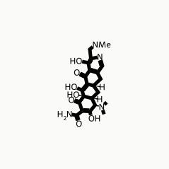 CNCc1ncc2c(c1O)C(=O)C1=C(O)[C@]3(O)C(=O)C(C(N)=O)=C(O)[C@@H](N(C)C)[C@@H]3C[C@@H]1C2